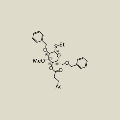 CCS[C@@H]1O[C@H](COCc2ccccc2)[C@@H](OC(=O)CCC(C)=O)[C@H](OC)[C@H]1OCc1ccccc1